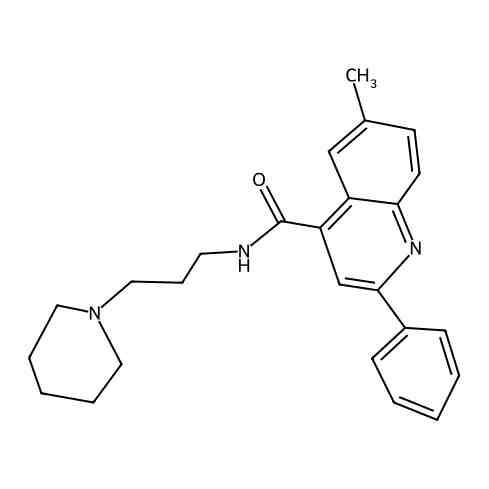 Cc1ccc2nc(-c3ccccc3)cc(C(=O)NCCCN3CCCCC3)c2c1